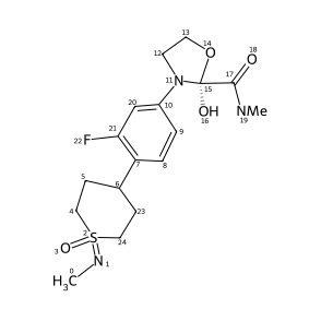 CN=S1(=O)CCC(c2ccc(N3CCO[C@@]3(O)C(=O)NC)cc2F)CC1